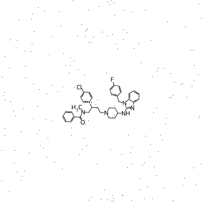 CN(CC(CCN1CCC(Nc2nc3ccccc3n2Cc2ccc(F)cc2)CC1)c1ccc(Cl)cc1)C(=O)c1ccccc1